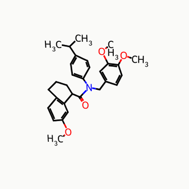 COc1ccc2c(c1)C(C(=O)N(Cc1ccc(OC)c(OC)c1)c1ccc(C(C)C)cc1)CCC2